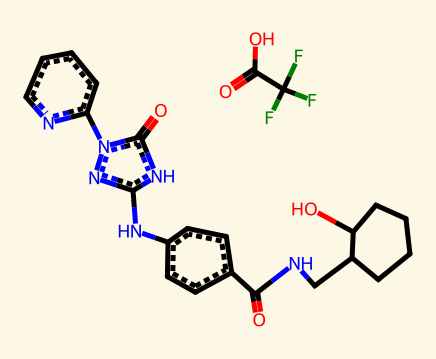 O=C(NCC1CCCCC1O)c1ccc(Nc2nn(-c3ccccn3)c(=O)[nH]2)cc1.O=C(O)C(F)(F)F